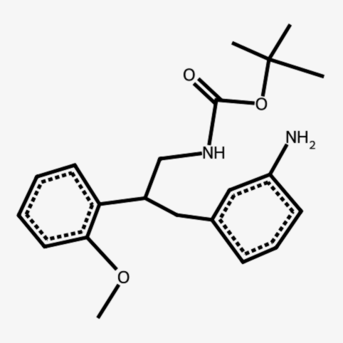 COc1ccccc1C(CNC(=O)OC(C)(C)C)Cc1cccc(N)c1